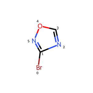 Brc1n[c]on1